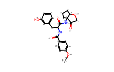 O=C(NC(Cc1cccc(O)c1)C(=O)NC12CCCC1OCC2=O)c1ccc(OC(F)(F)F)cc1